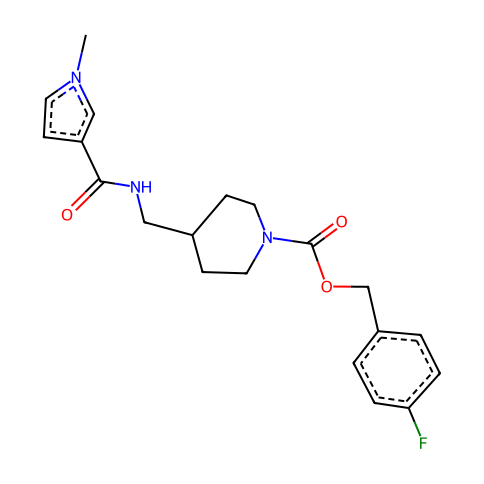 Cn1ccc(C(=O)NCC2CCN(C(=O)OCc3ccc(F)cc3)CC2)c1